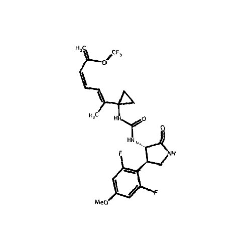 C=C(/C=C\C=C(/C)C1(NC(=O)N[C@@H]2C(=O)NC[C@H]2c2c(F)cc(OC)cc2F)CC1)OC(F)(F)F